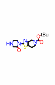 CC(C)(C)OC(=O)N1CCc2sc(N3CCNCC3=O)nc2C1